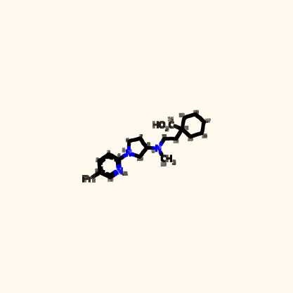 CC(C)c1ccc(N2CCC(N(C)CCC3(C(=O)O)CCCCC3)C2)nc1